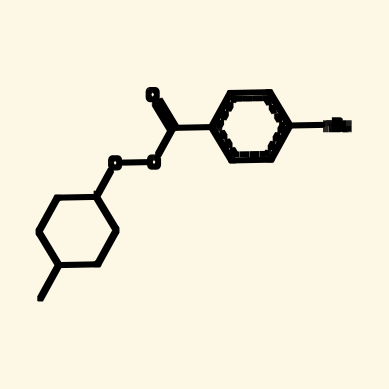 CCCCc1ccc(C(=O)OO[C]2CCC(C)CC2)cc1